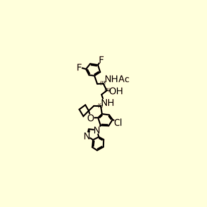 CC(=O)N[C@@H](Cc1cc(F)cc(F)c1)[C@H](O)CN[C@H]1CC2(CCC2)Oc2c1cc(Cl)cc2-n1cnc2ccccc21